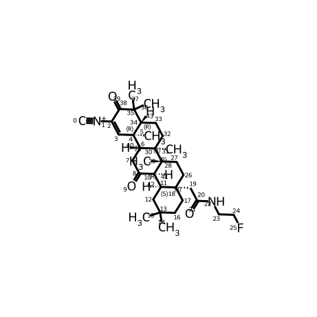 [C-]#[N+]C1=C[C@]2(C)[C@H]3CC(=O)[C@@H]4[C@@H]5CC(C)(C)CC[C@]5(CC(=O)NCCF)CC[C@@]4(C)[C@]3(C)CC[C@H]2C(C)(C)C1=O